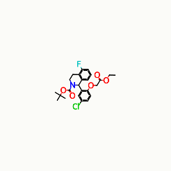 CCOC(=O)COc1ccc(Cl)cc1C1c2cccc(F)c2CCN1C(=O)OC(C)(C)C